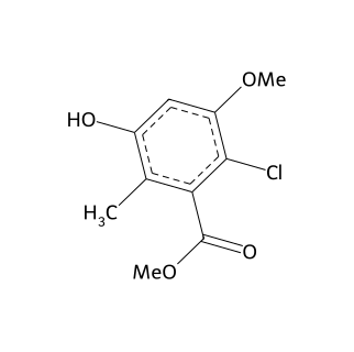 COC(=O)c1c(C)c(O)cc(OC)c1Cl